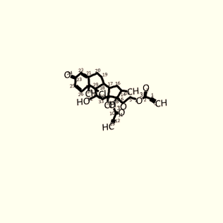 C#CC(=O)OCC(=O)[C@@]1(OC(=O)C#C)C(C)CC2C3CCC4=CC(=O)C=CC4(C)C3(Cl)C(O)CC21C